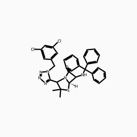 CC1(C)S[C@@H]2C(NC(c3ccccc3)(c3ccccc3)c3ccccc3)C(=O)N2C1c1nnnn1Cc1cc(Cl)cc(Cl)c1